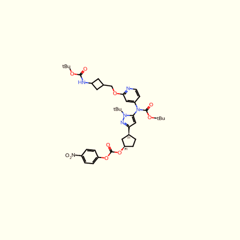 CC(C)(C)OC(=O)NC1CC(COc2cc(N(C(=O)OC(C)(C)C)c3cc([C@H]4CC[C@@H](OC(=O)Oc5ccc([N+](=O)[O-])cc5)C4)nn3C(C)(C)C)ccn2)C1